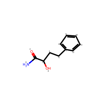 NC(=O)C(O)[CH]Cc1ccccc1